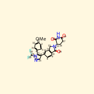 COc1ccc(-c2c(-c3ccc4c(c3)CN(C3CCC(=O)NC3=O)C4=O)cnn2C(F)F)cc1